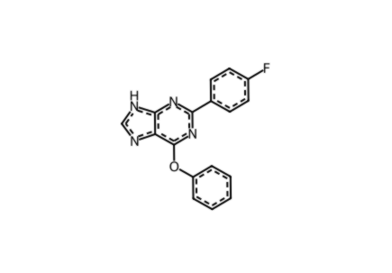 Fc1ccc(-c2nc(Oc3ccccc3)c3nc[nH]c3n2)cc1